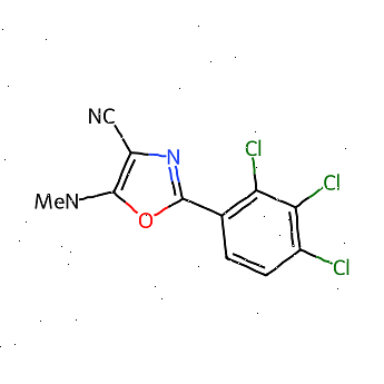 CNc1oc(-c2ccc(Cl)c(Cl)c2Cl)nc1C#N